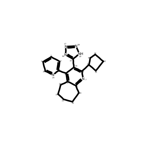 c1ccc(-c2c3c(nc(C4CCCC4)c2-c2nnn[nH]2)CCCCC3)nc1